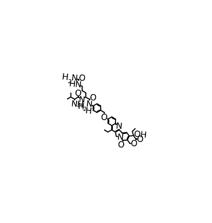 CCc1c2c(nc3ccc(OCc4ccc(NC(=O)C(CCCNC(N)=O)NC(=O)C(N)C(C)C)cc4)cc13)-c1cc3c(c(=O)n1C2)COC(=O)[C@]3(O)CC